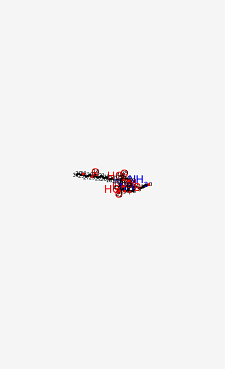 CC#CCOc1ccc(C[C@H](NC(=O)[C@@H](/C=C/CCCCCCC(=O)CCCCCCC)[C@@](O)(CC(N)=O)C(=O)O)C(=O)O)cc1